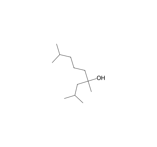 CC(C)CCCC(C)(O)CC(C)C